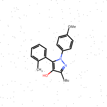 CCCCc1nn(-c2ccc(OC)cc2)c(-c2ccccc2C)c1O